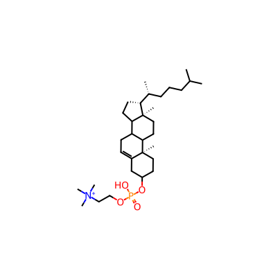 CC(C)CCC[C@@H](C)[C@H]1CCC2C3CC=C4CC(OP(=O)(O)OCC[N+](C)(C)C)CC[C@]4(C)C3CC[C@@]21C